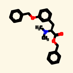 CN(C)[C@@H](Cc1cccc(OCc2ccccc2)c1)C(=O)OCc1ccccc1